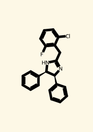 Fc1cccc(Cl)c1CC1=N[C@@H](c2ccccc2)[C@@H](c2ccccc2)N1